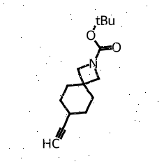 C#CC1CCC2(CC1)CN(C(=O)OC(C)(C)C)C2